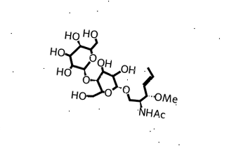 C/C=C/[C@H](OC)[C@H](CO[C@@H]1OC(CO)[C@@H](O[C@@H]2OC(CO)[C@H](O)C(O)C2O)C(O)C1O)NC(C)=O